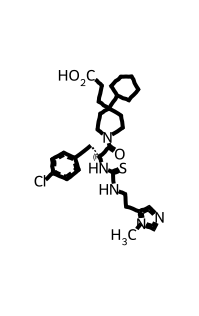 Cn1cncc1CCNC(=S)N[C@H](Cc1ccc(Cl)cc1)C(=O)N1CCC(CCC(=O)O)(C2CCCCC2)CC1